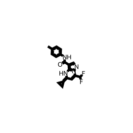 Cc1ccc(NC(=O)c2cnn3c2NC(=C2CC2)C=C3C(F)F)cc1